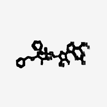 C[C@H](NP(=O)(OC[C@H]1O[C@@H](n2cnc3c(N)nc(Cl)nc32)C(I)C1O)Oc1ccccc1)C(=O)OCc1ccccc1